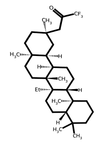 CC[C@@]12CC[C@H]3C(C)(C)CCC[C@]3(C)[C@H]1CC[C@@H]1[C@@H]3C[C@](C)(CC(=O)C(F)(F)F)CC[C@]3(C)CC[C@]12C